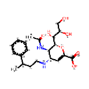 CC(=O)N[C@H]1[C@H]([C@H](O)[C@H](O)CO)OC(C(=O)O)=C[C@@H]1NCCC(C)c1ccccc1